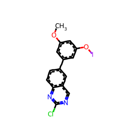 COc1cc(OI)cc(-c2ccc3nc(Cl)ncc3c2)c1